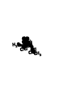 COCCCc1cc(Cl)c(Cl)c(CN(C(=O)C2=C(c3ccc(OCCOc4c(Cl)cc(C)cc4Cl)cc3)C[C@@H]3CN(C(c4ccccc4)(c4ccccc4)c4ccccc4)C[C@H]2N3)C2CC2)c1